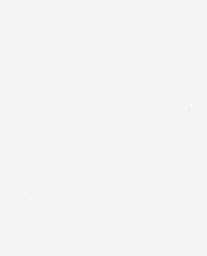 Cc1cc(O)ccc1C(=O)c1sc2cc(O)ccc2c1-c1ccc(/C=C/C(=O)O)cc1